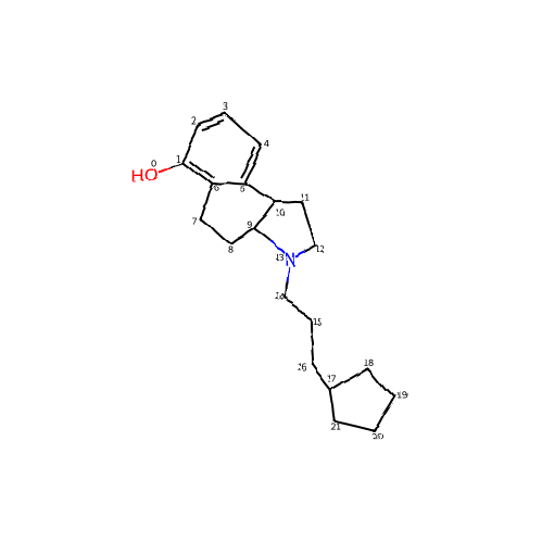 Oc1cccc2c1CCC1C2CCN1CCCC1CCCC1